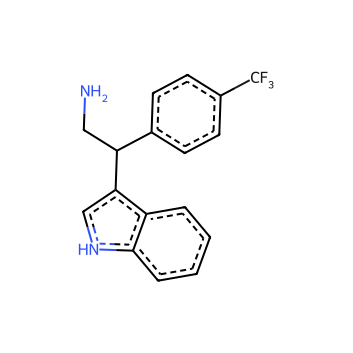 NCC(c1ccc(C(F)(F)F)cc1)c1c[nH]c2ccccc12